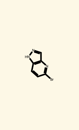 Brc1ccc2[nH]ncc2n1